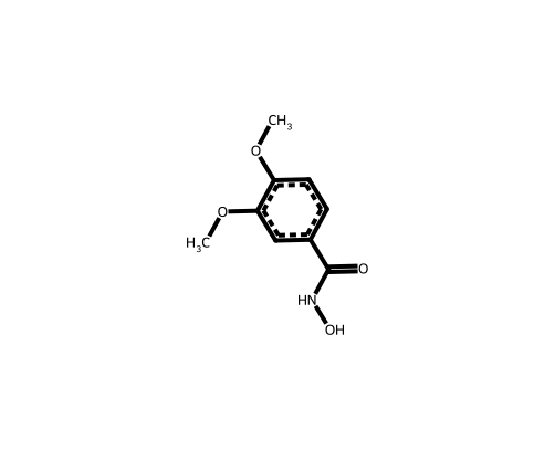 COc1ccc(C(=O)NO)cc1OC